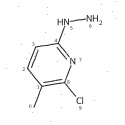 Cc1ccc(NN)nc1Cl